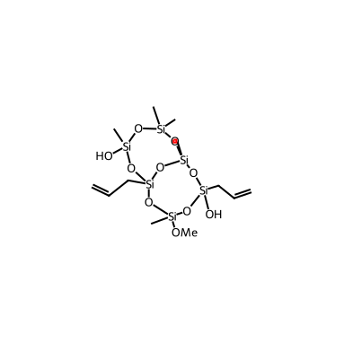 C=CC[Si]1(O)O[Si](C)(OC)O[Si]2(CC=C)O[Si](C)(O)O[Si](C)(C)O[Si](C)(O1)O2